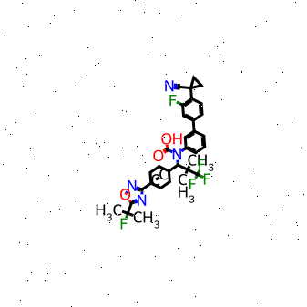 CC(C)(F)c1nc(C23CCC(C(N(C(=O)O)c4cccc(-c5ccc(C6(C#N)CC6)c(F)c5)c4)C(C)(C)C(F)(F)F)(CC2)CC3)no1